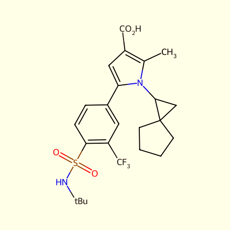 Cc1c(C(=O)O)cc(-c2ccc(S(=O)(=O)NC(C)(C)C)c(C(F)(F)F)c2)n1C1CC12CCCC2